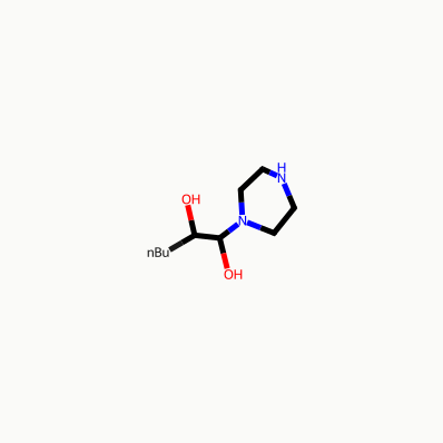 CCCCC(O)C(O)N1CCNCC1